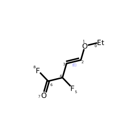 CCO/C=C/C(F)C(=O)F